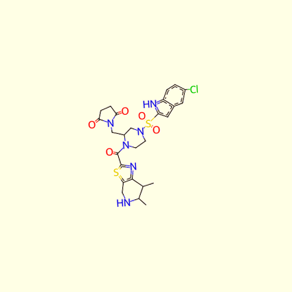 CC1NCc2sc(C(=O)N3CCN(S(=O)(=O)c4cc5cc(Cl)ccc5[nH]4)CC3CN3C(=O)CCC3=O)nc2C1C